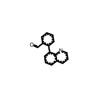 O=Cc1ccccc1-c1cccc2cccnc12